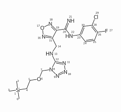 C[Si](C)(C)CCOCn1nnnc1NCc1nonc1C(=N)Nc1ccc(F)c(Cl)c1